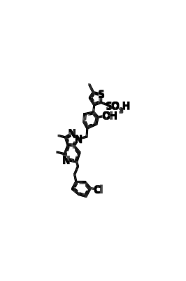 Cc1cc(-c2ccc(Cn3nc(C)c4c(C)nc(CCc5cccc(Cl)c5)cc43)cc2O)c(S(=O)(=O)O)s1